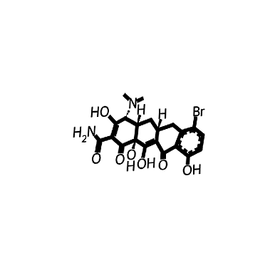 CN(C)[C@H]1C(O)=C(C(N)=O)C(=O)[C@@]2(O)C(O)=C3C(=O)c4c(O)ccc(Br)c4C[C@H]3C[C@@H]12